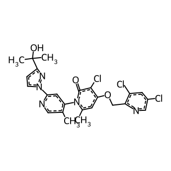 Cc1cnc(-n2ccc(C(C)(C)O)n2)cc1-n1c(C)cc(OCc2ncc(Cl)cc2Cl)c(Cl)c1=O